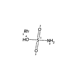 NS(=O)(=O)O.[Rh]